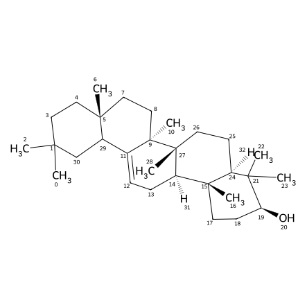 CC1(C)CC[C@]2(C)CC[C@]3(C)C(=CC[C@@H]4[C@@]5(C)CC[C@H](O)C(C)(C)[C@@H]5CC[C@]43C)C2C1